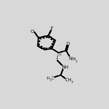 CC(C)NC[C@@H](C(N)=O)c1ccc(Cl)c(F)c1